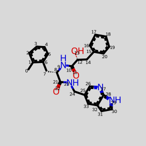 Cc1ccccc1C[C@H](NC(=O)[C@H](O)Cc1ccccc1)C(=O)NCc1cnc2[nH]ccc2c1